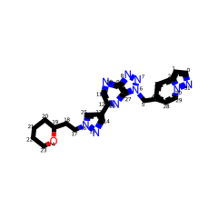 c1cc2cc(Cn3nnc4ncc(-c5cnn(CCC6CCCCO6)c5)nc43)ccn2n1